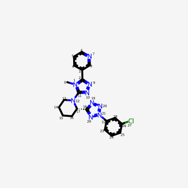 Cn1c(-c2cccnc2)nnc1N1CCCC[C@H]1c1nnn(-c2cccc(Cl)c2)n1